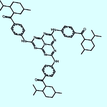 CC1CCC(C(C)C)C(C(=O)c2ccc(NC3=NC4=NC(Nc5ccc(C(=O)C6CC(C)CCC6C(C)C)cc5)=NC5=NC(Nc6ccc(C(=O)C7CC(C)CCC7C(C)C)cc6)=NC(=N3)N45)cc2)C1